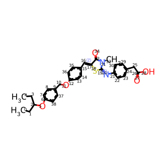 CCC(CC)Oc1ccc(COc2ccc(/C=C3\S/C(=N/c4ccc(CC(=O)O)cc4)N(C)C3=O)cc2)cc1